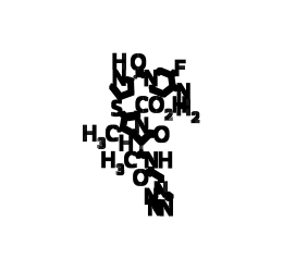 CC(NC(=O)Cn1cnnn1)[C@H]1C(=O)N2C(C(=O)O)=C(S[C@@H]3CN[C@H](C(=O)N4CCC(N)C(F)C4)C3)[C@H](C)[C@H]12